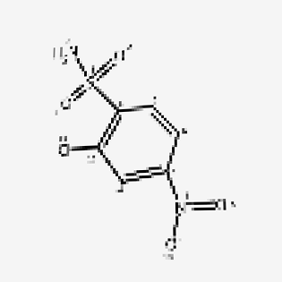 NS(=O)(=O)c1ccc([N+](=O)[O-])cc1Cl